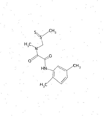 Cc1ccc(C)c(NC(=O)C(=O)N(C)CS(C)=S)c1